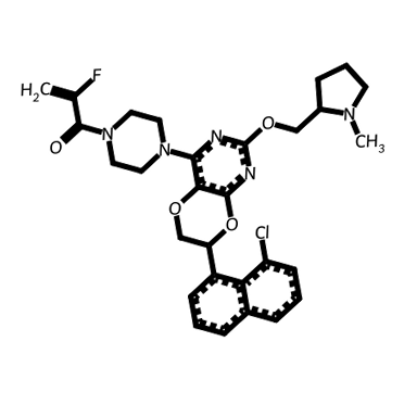 C=C(F)C(=O)N1CCN(c2nc(OCC3CCCN3C)nc3c2OCC(c2cccc4cccc(Cl)c24)O3)CC1